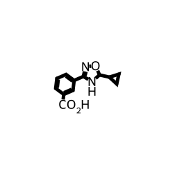 O=C(O)c1cccc(C2=NOC(C3CC3)N2)c1